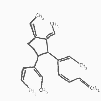 C=C/C=C\C(=C/C)C1C(=C/C)/C(=C\C)CC1C(/C=C\C)=C/C